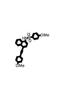 COc1ccc(C#Cc2ccc(NS(=O)(=O)c3ccc(OC)cc3)c3ccccc23)cc1